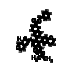 Cc1nc(CN(C)CC2CCOCC2)c(-c2ccc3c(c2)CCN(C(=O)OCc2ccccc2)C3)c(-c2ccc3c(c2)CCCO3)c1CC(=O)OC(C)C